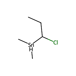 CC[CH](Cl)[SnH]([CH3])[CH3]